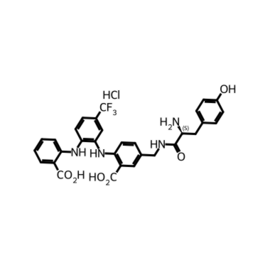 Cl.N[C@@H](Cc1ccc(O)cc1)C(=O)NCc1ccc(Nc2cc(C(F)(F)F)ccc2Nc2ccccc2C(=O)O)c(C(=O)O)c1